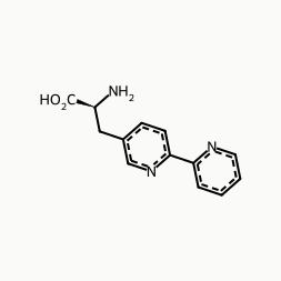 N[C@@H](Cc1ccc(-c2ccccn2)nc1)C(=O)O